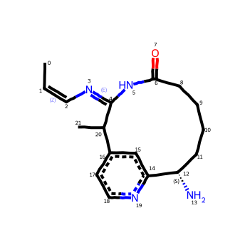 C/C=C\N=C1\NC(=O)CCCC[C@H](N)c2cc(ccn2)C1C